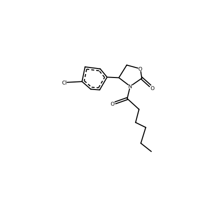 CCCCCC(=O)N1C(=O)OCC1c1ccc(Cl)cc1